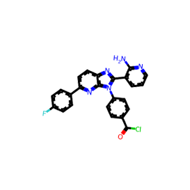 Nc1ncccc1-c1nc2ccc(-c3ccc(F)cc3)nc2n1-c1ccc(C(=O)Cl)cc1